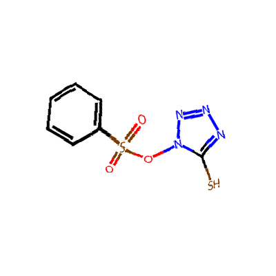 O=S(=O)(On1nnnc1S)c1ccccc1